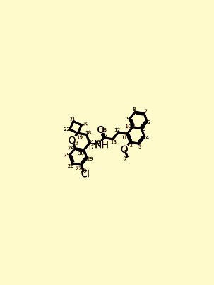 COc1ccc2ccccc2c1CCC(=O)N[C@@H]1CC2(CCC2)Oc2ccc(Cl)cc21